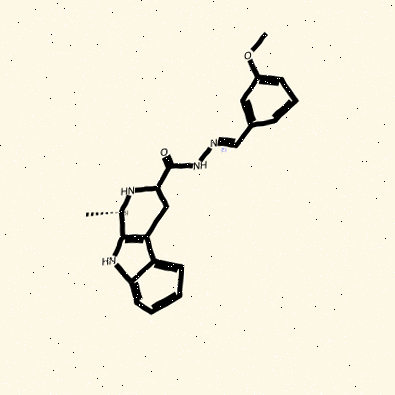 COc1cccc(/C=N/NC(=O)C2Cc3c([nH]c4ccccc34)[C@H](C)N2)c1